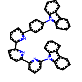 c1cc(-c2ccc(-n3c4ccccc4c4ccccc43)cc2)nc(-c2cccc(-c3cccc(-n4c5ccccc5c5ccccc54)n3)n2)c1